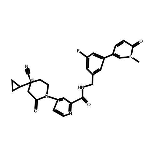 Cn1cc(-c2cc(F)cc(CNC(=O)c3cc(N4CC[C@@](C#N)(C5CC5)CC4=O)ccn3)c2)ccc1=O